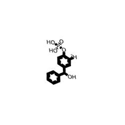 [2H]c1cc(C(O)c2ccccc2)ccc1OP(=O)(O)O